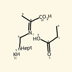 CCC(=O)O.CCCCCCCCN=C(C)C(=O)O.[KH]